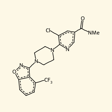 CNC(=O)c1cnc(N2CCN(c3noc4cccc(C(F)(F)F)c34)CC2)c(Cl)c1